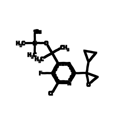 CC(C)(O[Si](C)(C)C(C)(C)C)c1cc(C2(C3CC3)CO2)nc(Cl)c1F